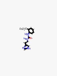 CCOC(=O)c1ccccc1NC(=O)NCCc1c[nH]cn1